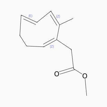 COC(=O)CC1=C/CC/C=C/C=C\1C